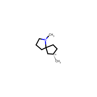 C[C@H]1CCC2(CCCN2C)C1